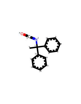 CC(N=C=O)(c1ccccc1)c1ccccc1